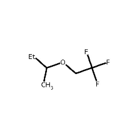 CCC(C)OCC(F)(F)F